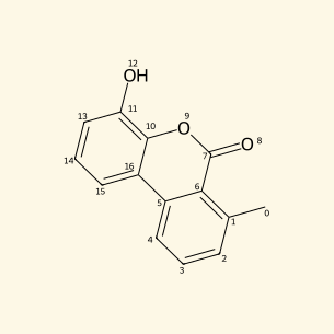 Cc1cccc2c1c(=O)oc1c(O)cccc12